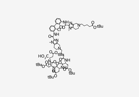 Cn1c(C(=O)Nc2cccc(-c3cccc(NC(=O)c4nc5c(n4C)CCN(CCCC(=O)N[C@@H](CC(=O)OC(C)(C)C)C(=O)N[C@@H](CC(=O)OC(C)(C)C)C(=O)N[C@@H](CC(=O)OC(C)(C)C)C(=O)N[C@@H](CC(=O)OC(C)(C)C)C(=O)O)C5)c3Cl)c2Cl)nc2c1CCN(CCCCC(=O)OC(C)(C)C)C2